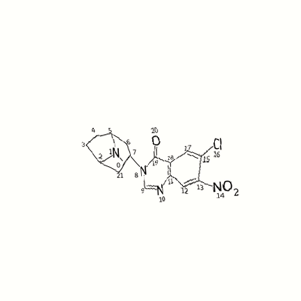 CN1C2CCC1CC(n1cnc3cc([N+](=O)[O-])c(Cl)cc3c1=O)C2